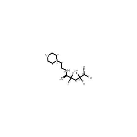 O=C(NCCN1CCOCC1)C(F)(F)CC(F)(F)C(F)F